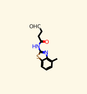 Cc1cccc2sc(NC(=O)CCC=O)nc12